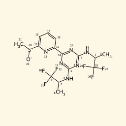 CC(Nc1nc(NC(C)C(F)(F)F)nc(-c2cccc([S+](C)[O-])n2)n1)C(F)(F)F